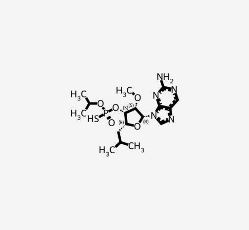 CO[C@H]1[C@@H](OP(=O)(S)OC(C)C)[C@@H](CC(C)C)O[C@H]1n1cnc2cnc(N)nc21